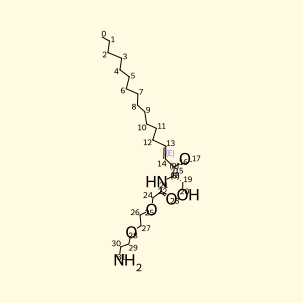 CCCCCCCCCCCCC/C=C/[C@@H](OC)[C@H](CO)NC(=O)COCCOCCN